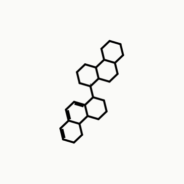 C1=CC2=CC=C3C([C]4CCCC5C4CCC4CCCCC45)CCCC3C2CC1